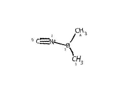 [C-]#[N+]B(C)C